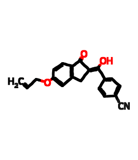 C=CCOc1ccc2c(c1)C/C(=C(/O)c1ccc(C#N)cc1)C2=O